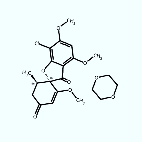 C1COCCO1.COC1=CC(=O)C[C@@H](C)[C@]12Oc1c(Cl)c(OC)cc(OC)c1C2=O